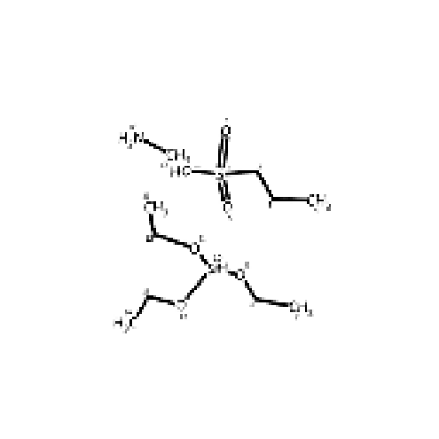 CCCS(=O)(=O)O.CCO[SiH](OCC)OCC.CN